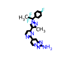 Cc1nn(C(c2ccc(F)cc2)C(C)(F)F)cc1-c1ccnc(-c2ccn3nc(N)nc3c2)n1